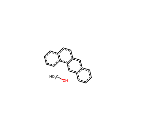 O=C(O)O.c1ccc2cc3c(ccc4ccccc43)cc2c1